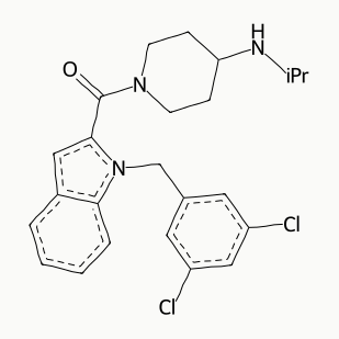 CC(C)NC1CCN(C(=O)c2cc3ccccc3n2Cc2cc(Cl)cc(Cl)c2)CC1